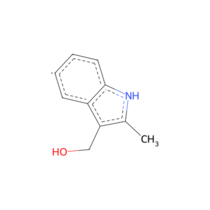 Cc1[nH]c2cc[c]cc2c1CO